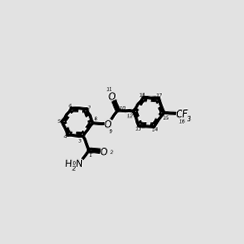 NC(=O)c1ccccc1OC(=O)c1ccc(C(F)(F)F)cc1